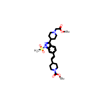 CC(C)(C)OC(=O)CN1CCC(c2nn(S(C)(=O)=O)c3cc(C=CC4CCN(C(=O)OC(C)(C)C)CC4)ccc23)CC1